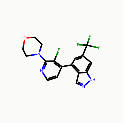 Fc1c(-c2cc(C(F)(F)F)cc3[nH]ncc23)ccnc1N1CCOCC1